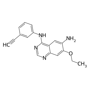 C#Cc1cccc(Nc2ncnc3cc(OCC)c(N)cc23)c1